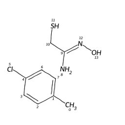 Cc1ccc(Cl)cc1.NC(CS)=NO